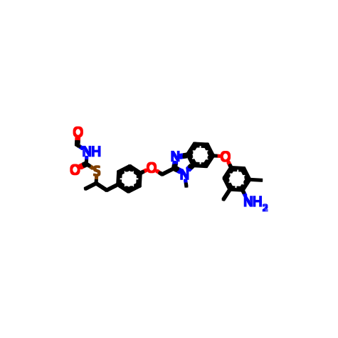 Cc1cc(Oc2ccc3nc(COc4ccc(CC(C)SC(=O)NC=O)cc4)n(C)c3c2)cc(C)c1N